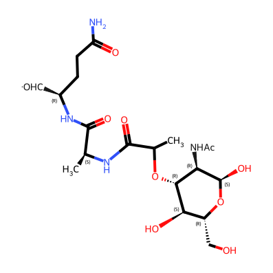 CC(=O)N[C@@H]1[C@@H](OC(C)C(=O)N[C@@H](C)C(=O)N[C@@H]([C]=O)CCC(N)=O)[C@H](O)[C@@H](CO)O[C@@H]1O